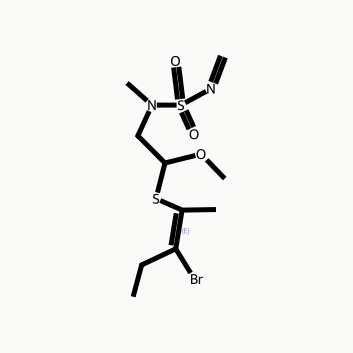 C=NS(=O)(=O)N(C)CC(OC)S/C(C)=C(/Br)CC